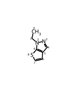 CCn1ncc2ccsc21